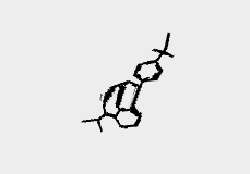 CC(C)C1=C2CCc3ccc(c2c3-c2ccc(C(C)(C)C)cc2)[CH]1